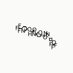 O=C(COc1ccc(C(F)(F)F)nc1)N[C@@H]1CC[C@@H](c2nnc([C@H]3C[C@@H](OC(F)(F)F)C3)o2)OC1